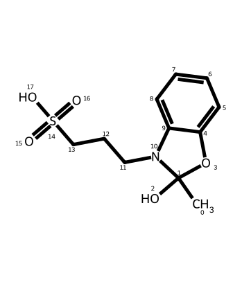 CC1(O)Oc2ccccc2N1CCCS(=O)(=O)O